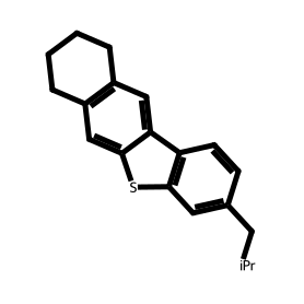 CC(C)Cc1ccc2c(c1)sc1cc3c(cc12)CCCC3